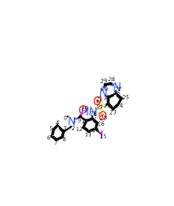 CN(Cc1ccccc1)C(=O)c1ccc(I)cc1NS(=O)(=O)c1cccc2nccnc12